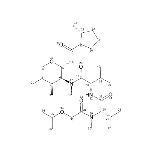 CC[C@H](C)[C@@H]([C@@H](CC(=O)C1CCC[C@H]1C)OC)N(C)C(=O)[C@@H](NC(=O)[C@H](C(C)C)N(C)C(=O)COC(C)C)C(C)C